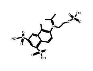 CC(C)=[N+](CCCS(=O)(=O)O)c1ccc2c(S(=O)(=O)O)cc(S(=O)(=O)O)cc2c1C